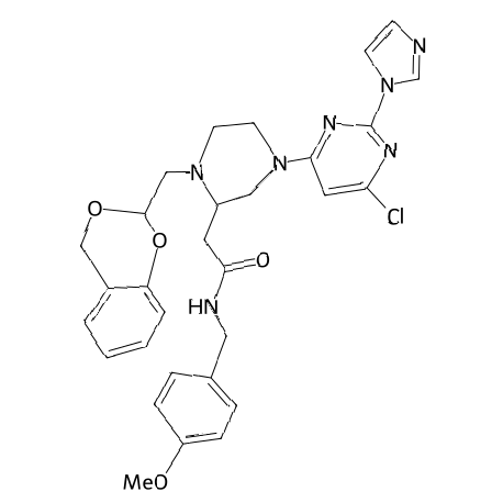 COc1ccc(CNC(=O)CC2CN(c3cc(Cl)nc(-n4ccnc4)n3)CCN2CC2OCc3ccccc3O2)cc1